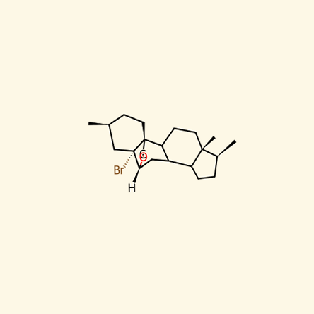 C[C@H]1CC[C@]23CO[C@H](CC4C2CC[C@@]2(C)C4CC[C@@H]2C)[C@@]3(Br)C1